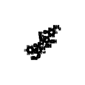 C[C@@H](NP(=O)(OC[C@@]1(N=[N+]=[N-])O[C@@H](n2ccc(N)nc2=O)[C@H](O)[C@@H]1O)Oc1ccccc1)C(=O)OC(C)(C)C